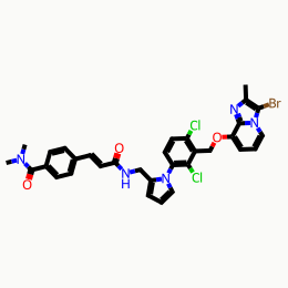 Cc1nc2c(OCc3c(Cl)ccc(-n4cccc4CNC(=O)/C=C/c4ccc(C(=O)N(C)C)cc4)c3Cl)cccn2c1Br